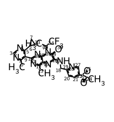 Cc1ncnc(C2CC2)c1-c1nc(C)c2nc(NCc3ccc(S(C)(=O)=O)cn3)c(=O)n([C@@H](C)C(F)(F)F)c2n1